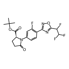 CC(C)(C)OC(=O)[C@@H]1CCC(=O)N1c1ccc(-c2noc(C(F)C(F)F)n2)c(F)c1